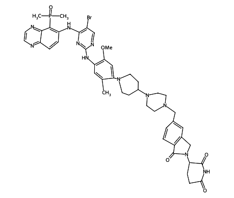 COc1cc(N2CCC(N3CCN(Cc4ccc5c(c4)CN(C4CCC(=O)NC4=O)C5=O)CC3)CC2)c(C)cc1Nc1ncc(Br)c(Nc2ccc3nccnc3c2P(C)(C)=O)n1